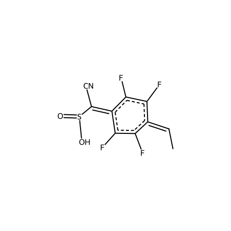 CC=c1c(F)c(F)c(=C(C#N)S(=O)O)c(F)c1F